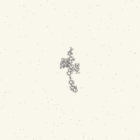 COC(=O)NC(C(=O)NC(Cc1ccc(C#Cc2ccc(N3CCN4CCOC[C@H]4C3)nc2)cc1)C(O)CN(Cc1c(F)cc(-c2ccn(C3CC3)n2)cc1F)NC(=O)C(NC(=O)O)C(C)(C)C(F)(F)F)C(C)(C)C(F)(F)F